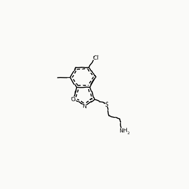 Cc1cc(Cl)cc2c(SCCN)noc12